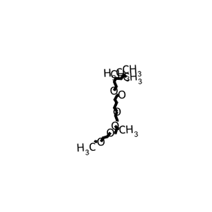 CCOCCOCC(C)OCCOCCCC(=O)OCCC(C)CC(C)(C)C